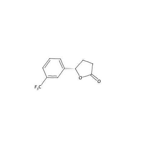 O=C1CC[C@@H](c2cccc(C(F)(F)F)c2)O1